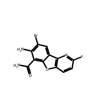 NC(=O)c1c(N)c(Br)cc2c1oc1ccc(F)nc12